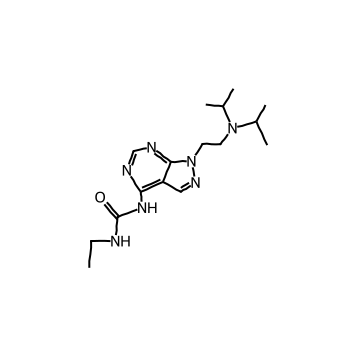 CCNC(=O)Nc1ncnc2c1cnn2CCN(C(C)C)C(C)C